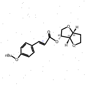 CCCCOc1ccc(/C=C/C(=O)O[C@@H]2CO[C@@H]3CCO[C@@H]32)cc1